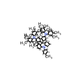 Cc1ccc(N2c3ccccc3C(c3ccc(N(c4cc(C)c(C)cc4C)c4cc(C)c(C)cc4C)cc3)(c3ccc(N(c4cc(C)c(C)cc4C)c4cc(C)c(C)cc4C)cc3)c3cc(C)ccc32)cc1